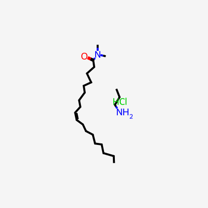 CCCCCCCC/C=C\CCCCCCCC(=O)N(C)C.CCCN.Cl